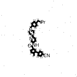 Cc1ccc(C(=O)Nc2ccc(N3CCN(Cc4ccc(CC(C)C)cc4)CC3)nc2)cc1-c1ccc(C#N)cc1